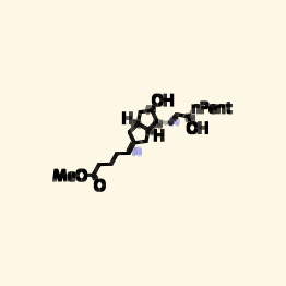 CCCCC[C@H](O)/C=C/[C@@H]1[C@H]2C/C(=C/CCCC(=O)OC)C[C@H]2C[C@H]1O